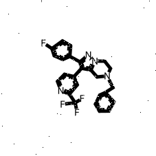 Fc1ccc(-c2nn3c(c2-c2ccnc(C(F)(F)F)c2)CN(Cc2ccccc2)CC3)cc1